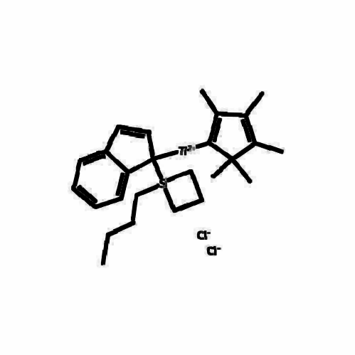 CCCC[Si]1([C]2([Ti+2][C]3=C(C)C(C)=C(C)C3(C)C)C=Cc3ccccc32)CCC1.[Cl-].[Cl-]